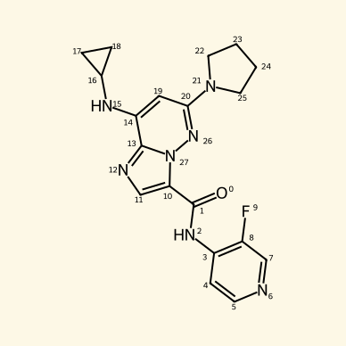 O=C(Nc1ccncc1F)c1cnc2c(NC3CC3)cc(N3CCCC3)nn12